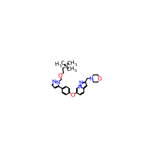 C[Si](C)(C)CCOCn1nccc1-c1ccc(Oc2ccc3cc(CN4CCOCC4)nn3c2)cc1